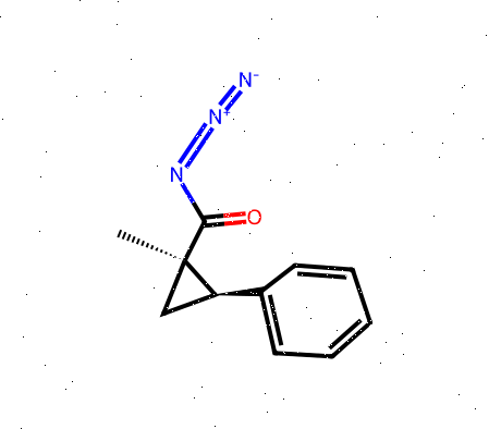 C[C@@]1(C(=O)N=[N+]=[N-])C[C@@H]1c1ccccc1